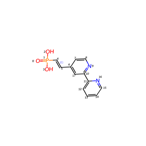 O=P(O)(O)/C=C/c1ccnc(-c2ccccn2)c1